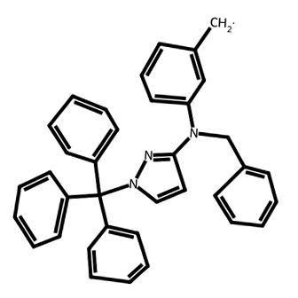 [CH2]c1cccc(N(Cc2ccccc2)c2ccn(C(c3ccccc3)(c3ccccc3)c3ccccc3)n2)c1